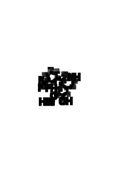 Br.Oc1cc2c(cc1O)C(c1cccc(C(F)(F)F)c1)CNCC2